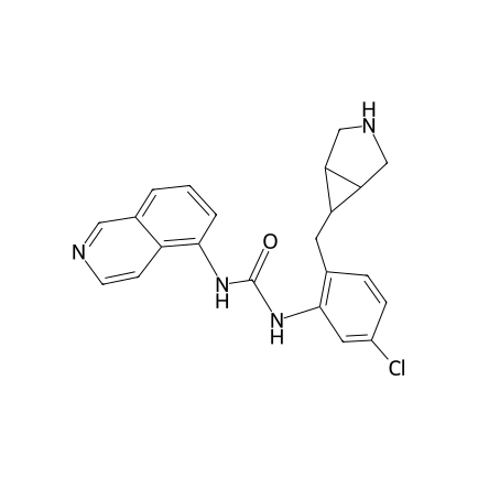 O=C(Nc1cc(Cl)ccc1CC1C2CNCC21)Nc1cccc2cnccc12